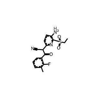 CCS(=O)(=O)c1nc(C(C#N)C(=O)c2cccc(C)c2F)ccc1N